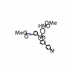 COC(=O)/C=C/c1cccc(N(Cc2ccc(-c3ccc(N(C)C)cc3)cc2)C(=O)C2CCC(NC(=O)OC)CC2)c1